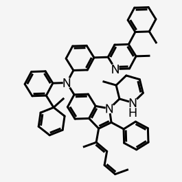 C/C=C\C=C(/C)c1c(-c2ccccc2)n(C2NC=CCC2C)c2cc(N(c3ccccc3C3(C)C=CC=CC3)C3C=C(c4cc(C5=CC=CCC5C)c(C)cn4)C=CC3)ccc12